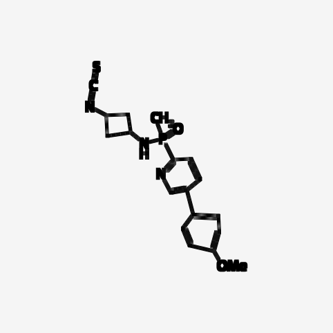 COc1ccc(-c2ccc(P(C)(=O)NC3CC(N=C=S)C3)nc2)cc1